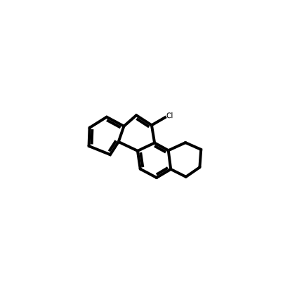 Clc1cc2ccccc2c2ccc3c(c12)CCCC3